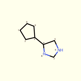 C1CCC(C2CNC[N]2)C1